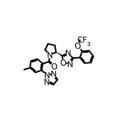 Cc1ccc(C(=O)N2CCC[C@H]2c2nc(-c3ccccc3OC(F)(F)F)no2)c(-n2nccn2)c1